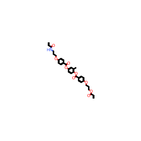 C=CC(=O)NCCCOc1ccc(C(=O)Oc2ccc(OC(=O)c3ccc(OCCCOC(=O)C=C)cc3)c(C)c2)cc1